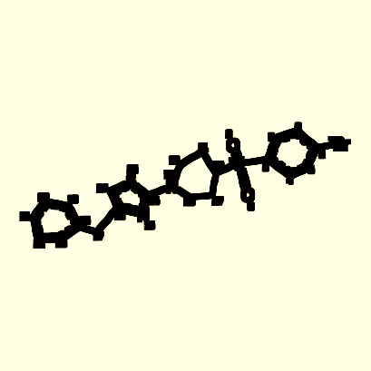 O=S(=O)(c1ccc(Br)cc1)C1CCN(c2nc(Cc3ccccc3)cs2)CC1